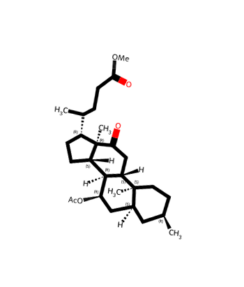 COC(=O)CCC(C)[C@H]1CC[C@H]2[C@@H]3[C@H](OC(C)=O)C[C@@H]4C[C@H](C)CC[C@]4(C)[C@H]3CC(=O)[C@]12C